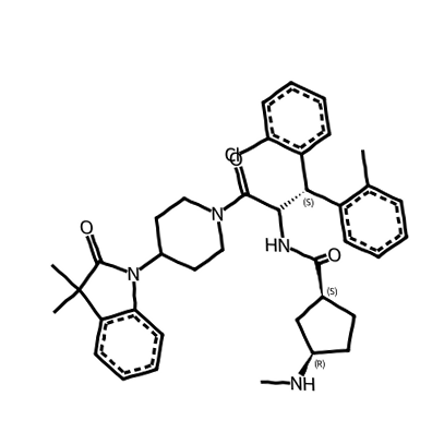 CN[C@@H]1CC[C@H](C(=O)NC(C(=O)N2CCC(N3C(=O)C(C)(C)c4ccccc43)CC2)[C@@H](c2ccccc2C)c2ccccc2Cl)C1